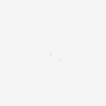 CC1N(c2ccccc2)c2ccc(C(C)(C)C)cc2N1c1ccccc1